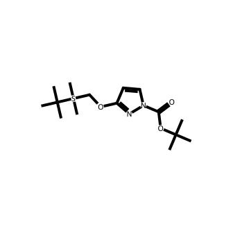 CC(C)(C)OC(=O)n1ccc(OCS(C)(C)C(C)(C)C)n1